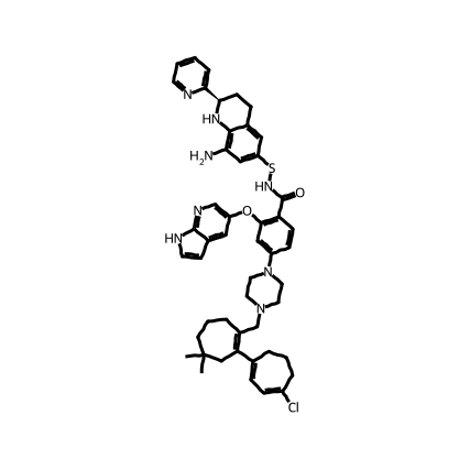 CC1(C)CCCC(CN2CCN(c3ccc(C(=O)NSc4cc(N)c5c(c4)CC[C@H](c4ccccn4)N5)c(Oc4cnc5[nH]ccc5c4)c3)CC2)=C(C2=CC=C(Cl)CCC2)C1